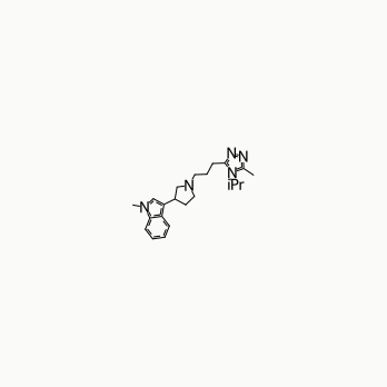 Cc1nnc(CCCN2CCC(c3cn(C)c4ccccc34)C2)n1C(C)C